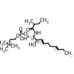 CC/C=C/CC/C=C/[C@@H](O)[C@H](COP(=O)(O)OCC[N+](C)(C)C)NC(=O)C(C)CC